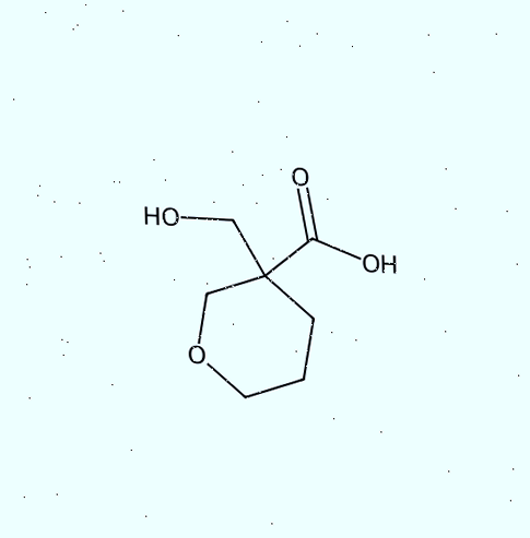 O=C(O)C1(CO)CCCOC1